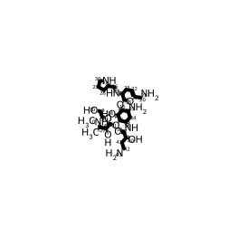 CN[C@@H](C)[C@@H](O)[C@H](OCCO)O[C@@H]1[C@@H](O)[C@H](O[C@H]2OC(CN)=CC[C@H]2NCC2CCCN2)[C@@H](N)C[C@H]1NC(=O)[C@@H](O)CCN